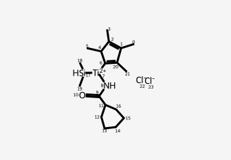 CC1=C(C)C(C)[C]([Ti+2]([NH]C(=O)C2CCCCC2)[SiH](C)C)=C1C.[Cl-].[Cl-]